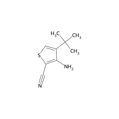 CC(C)(C)c1csc(C#N)c1N